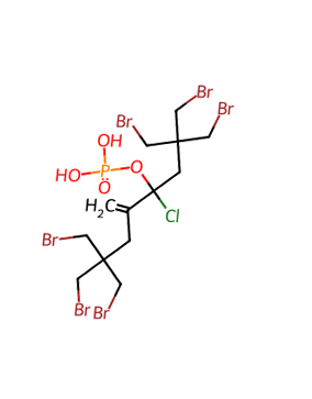 C=C(CC(CBr)(CBr)CBr)C(Cl)(CC(CBr)(CBr)CBr)OP(=O)(O)O